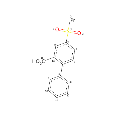 CC(C)S(=O)(=O)c1ccc(-c2ccccc2)c(C(=O)O)c1